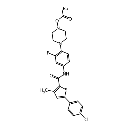 Cc1cc(-c2ccc(Cl)cc2)sc1C(=O)Nc1ccc(N2CCN(OC(=O)C(C)(C)C)CC2)c(F)c1